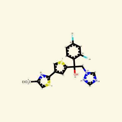 CCOC(=O)c1csc(-c2csc(C(O)(Cn3cncn3)c3ccc(F)cc3F)c2)n1